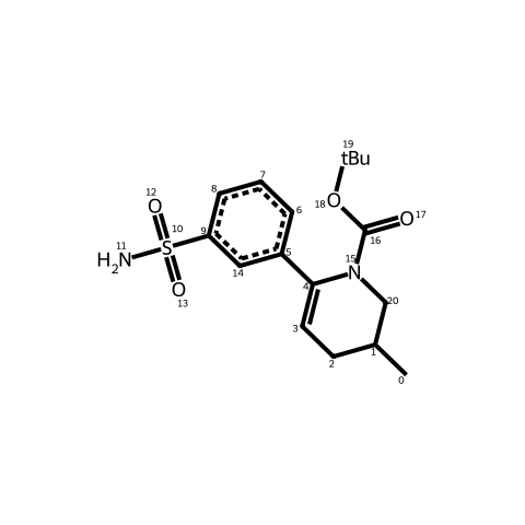 CC1CC=C(c2cccc(S(N)(=O)=O)c2)N(C(=O)OC(C)(C)C)C1